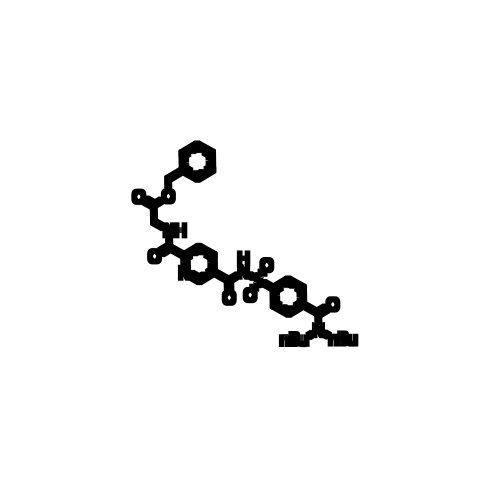 CCCCN(CCCC)C(=O)c1ccc(S(=O)(=O)NC(=O)c2ccc(C(=O)NCC(=O)OCc3ccccc3)nc2)cc1